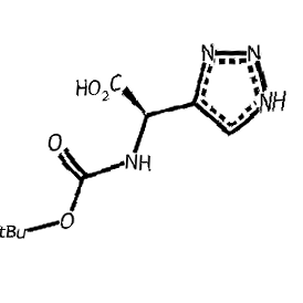 CC(C)(C)OC(=O)N[C@@H](C(=O)O)c1c[nH]nn1